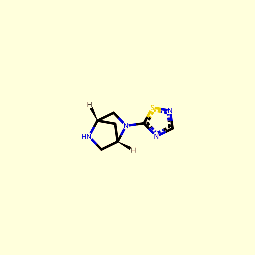 c1nsc(N2C[C@@H]3C[C@H]2CN3)n1